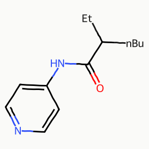 CCCCC(CC)C(=O)Nc1ccncc1